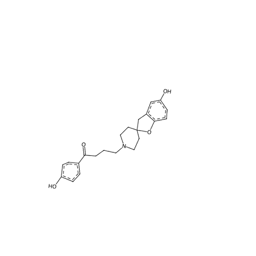 O=C(CCCN1CCC2(CC1)Cc1cc(O)ccc1O2)c1ccc(O)cc1